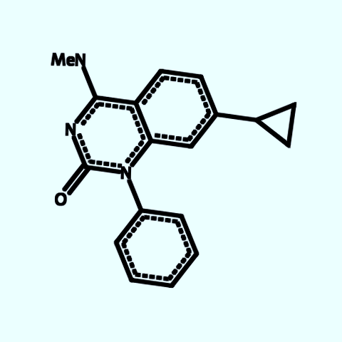 CNc1nc(=O)n(-c2ccccc2)c2cc(C3CC3)ccc12